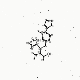 C=C(O)[C@@H](C(C)C)[C@H](Cc1ccc(C2=CCNC2)c(C)c1)c1nnn[nH]1